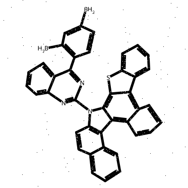 Bc1ccc(-c2nc(-n3c4ccc5ccccc5c4c4c5ccccc5c5c6ccccc6sc5c43)nc3ccccc23)c(B)c1